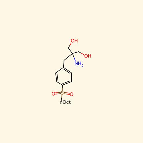 CCCCCCCCS(=O)(=O)c1ccc(CC(N)(CO)CO)cc1